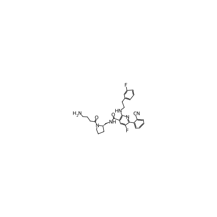 N#Cc1ccccc1-c1nc(NCCc2cccc(F)c2)c(C(=O)NC[C@H]2CCCN2C(=O)CCCN)cc1F